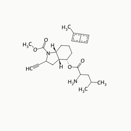 C#CC1C[C@H]2[C@@H](OC(=O)C(N)CC(C)C)CCC[C@H]2N1C(=O)OC.Cc1cc2ccc1-2